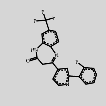 O=C1CC(c2ccnc(-c3ccccc3F)c2)=Nc2ccc(C(F)(F)F)cc2N1